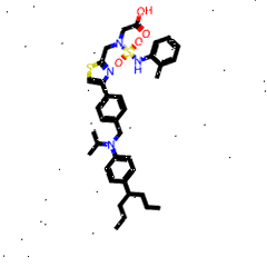 CCCC(CCC)c1ccc(N(Cc2ccc(-c3csc(CN(CC(=O)O)S(=O)(=O)Nc4ccccc4C)n3)cc2)C(C)C)cc1